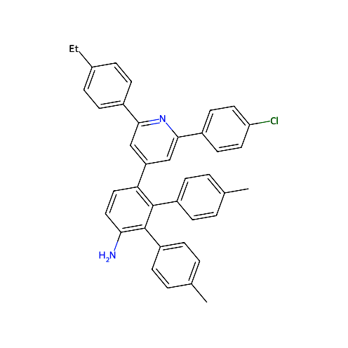 CCc1ccc(-c2cc(-c3ccc(N)c(-c4ccc(C)cc4)c3-c3ccc(C)cc3)cc(-c3ccc(Cl)cc3)n2)cc1